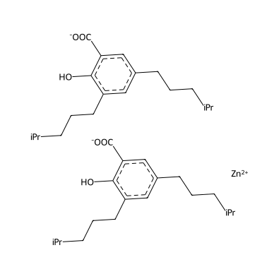 CC(C)CCCc1cc(CCCC(C)C)c(O)c(C(=O)[O-])c1.CC(C)CCCc1cc(CCCC(C)C)c(O)c(C(=O)[O-])c1.[Zn+2]